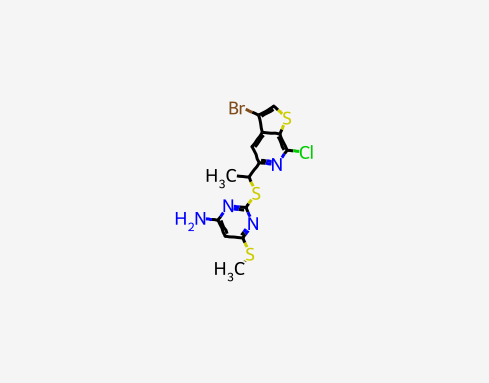 CSc1cc(N)nc(SC(C)c2cc3c(Br)csc3c(Cl)n2)n1